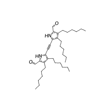 CCCCCCc1c(C#Cc2[nH]c(C=O)c(CCCCCC)c2CCCCCC)[nH]c(C=O)c1CCCCCC